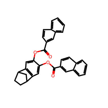 O=C(Oc1cc2c(cc1OC(=O)c1ccc3ccccc3c1)C1CCC2C1)c1ccc2ccccc2c1